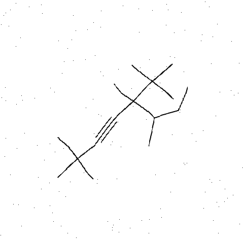 CCC(C)C(C)(C#CC(C)(C)C)C(C)(C)C